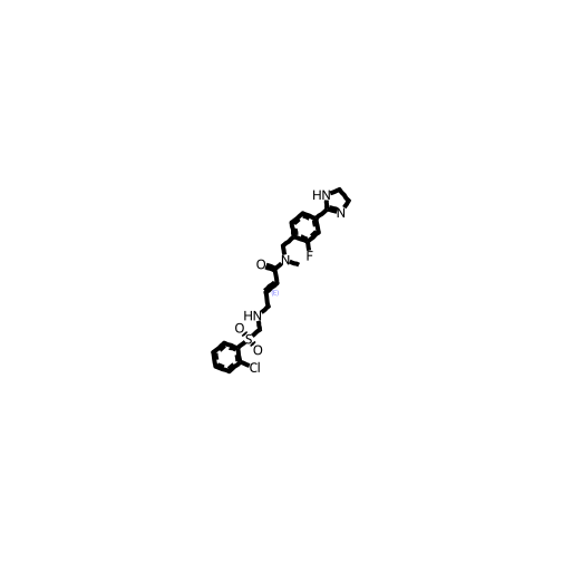 CN(Cc1ccc(C2=NCCN2)cc1F)C(=O)/C=C/CNCS(=O)(=O)c1ccccc1Cl